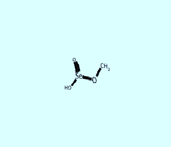 CO[Se](=O)O